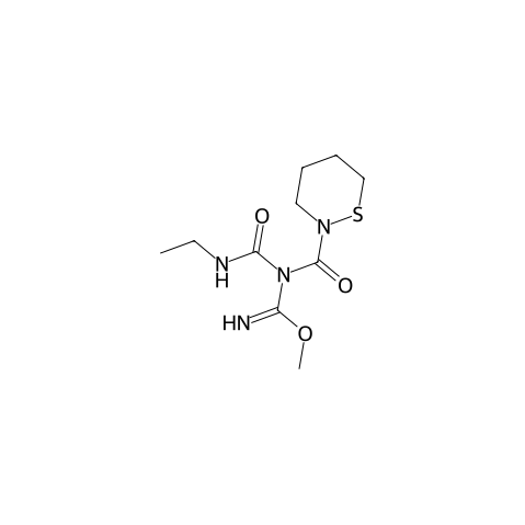 CCNC(=O)N(C(=N)OC)C(=O)N1CCCCS1